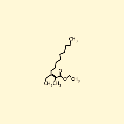 CCCCCCCCCC(CC)=C(C)C(=O)OCC